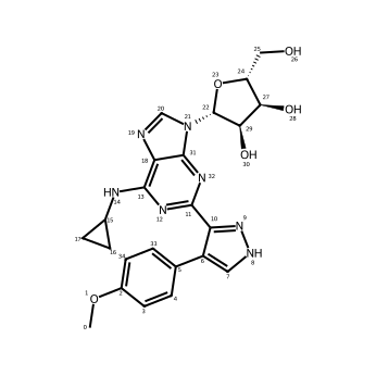 COc1ccc(-c2c[nH]nc2-c2nc(NC3CC3)c3ncn([C@@H]4O[C@H](CO)[C@@H](O)[C@H]4O)c3n2)cc1